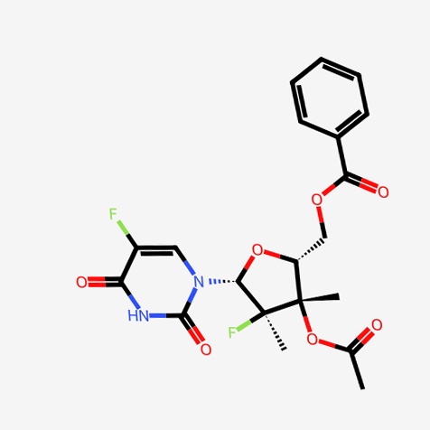 CC(=O)O[C@@]1(C)[C@@H](COC(=O)c2ccccc2)O[C@@H](n2cc(F)c(=O)[nH]c2=O)[C@]1(C)F